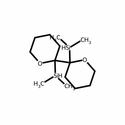 C[SiH](C)C1(C2([SiH](C)C)CCCCO2)CCCCO1